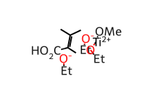 CC(C)=C(C)C(=O)O.CC[O-].CC[O-].CC[O][Ti+2][O]C